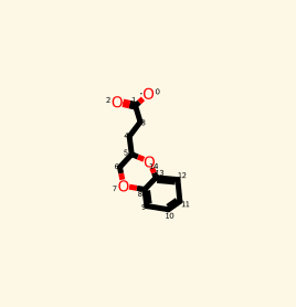 [O]C(=O)CCC1COc2ccccc2O1